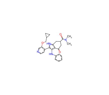 CN(C)C(=O)C1CC(=O)c2c([nH]c(-c3ccncc3OCC3CC3)c2Nc2ccccc2)C1